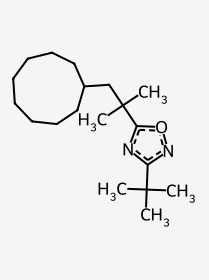 CC(C)(C)c1noc(C(C)(C)CC2CCCCCCCC2)n1